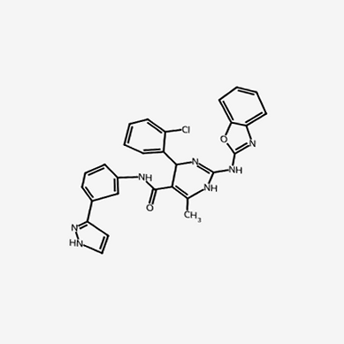 CC1=C(C(=O)Nc2cccc(-c3cc[nH]n3)c2)C(c2ccccc2Cl)N=C(Nc2nc3ccccc3o2)N1